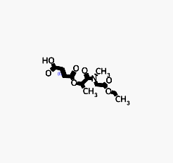 CCOC(=O)CN(C)C(=O)C(C)OC(=O)/C=C/C(=O)O